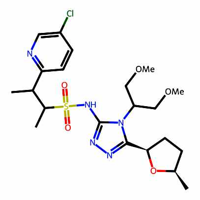 COCC(COC)n1c(NS(=O)(=O)C(C)C(C)c2ccc(Cl)cn2)nnc1[C@H]1CC[C@@H](C)O1